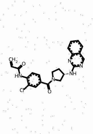 C=CC(=O)Nc1ccc(C(=O)N2CC[C@H](Nc3ncc4ccccc4n3)C2)cc1Cl